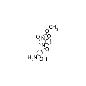 CCOC(=O)CN1C(=O)CCN(C(=O)c2ccc(N)c(O)c2)c2ccccc21